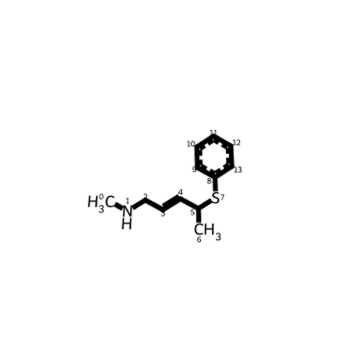 CNCC=CC(C)Sc1cc[c]cc1